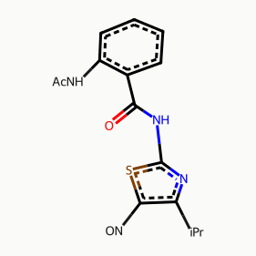 CC(=O)Nc1ccccc1C(=O)Nc1nc(C(C)C)c(N=O)s1